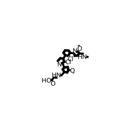 CNCc1ccc(-c2cccc(-c3ccnc(-c4cc(CNCCC(=O)O)cc(OC)c4)c3Cl)c2Cl)nc1OC